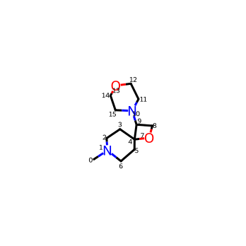 CN1CCC2(CC1)OCC2N1CCOCC1